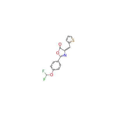 O=C1OC(c2ccc(OC(F)F)cc2)=N/C1=C/c1cccs1